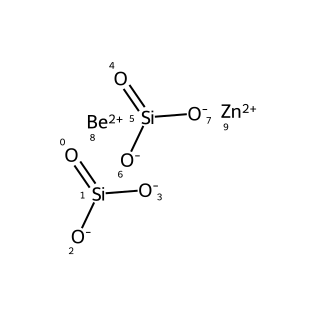 O=[Si]([O-])[O-].O=[Si]([O-])[O-].[Be+2].[Zn+2]